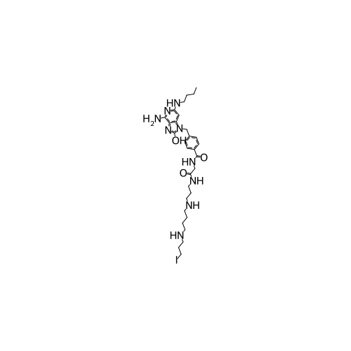 CCCCNc1cc2c(nc(O)n2Cc2ccc(C(=O)NCC(=O)NCCCNCCCCNCCCI)cc2)c(N)n1